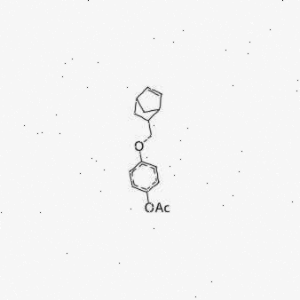 CC(=O)Oc1ccc(OCC2CC3C=CC2C3)cc1